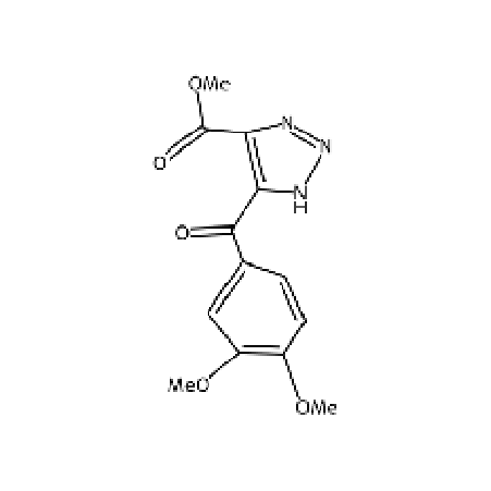 COC(=O)c1nn[nH]c1C(=O)c1ccc(OC)c(OC)c1